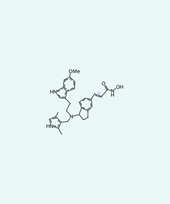 COc1ccc2c(CCN(Cc3c(C)c[nH]c3C)C3CCc4cc(/C=C/C(=O)NO)ccc43)c[nH]c2c1